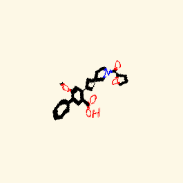 COc1cc([C@H]2C[C@@]3(CCN(C(=O)[C@H]4CCCO4)C3)C2)c(C(=O)O)cc1-c1ccccc1